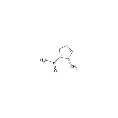 C=C1C=CC=C1C(N)=O